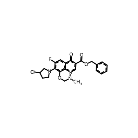 CN1COc2c(N3CCC(Cl)C3)c(F)cc3c(=O)c(C(=O)OCc4ccccc4)cn1c23